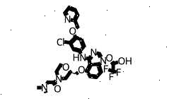 CN(C)CC(=O)N1CCO[C@H](COc2cccc3ncnc(Nc4ccc(OCc5ccccn5)c(Cl)c4)c23)C1.O=C(O)C(F)(F)F